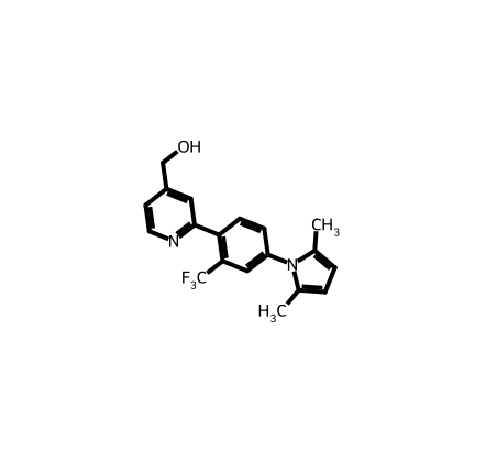 Cc1ccc(C)n1-c1ccc(-c2cc(CO)ccn2)c(C(F)(F)F)c1